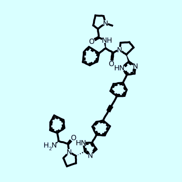 CN1CCCC1C(=O)N[C@@H](C(=O)N1CCC[C@H]1c1ncc(-c2ccc(C#Cc3ccc(-c4cnc([C@@H]5CCCN5C(=O)[C@H](N)c5ccccc5)[nH]4)cc3)cc2)[nH]1)c1ccccc1